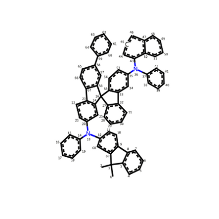 CC1(C)c2ccccc2-c2ccc(N(c3ccccc3)c3ccc4c(c3)C3(c5ccccc5-c5cc(N(c6ccccc6)c6cccc7ccccc67)ccc53)c3cc(-c5ccccc5)ccc3-4)cc21